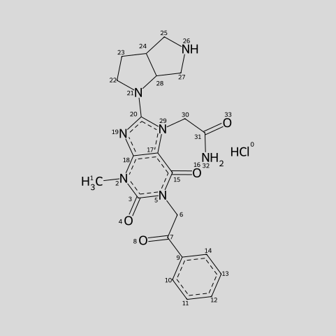 Cl.Cn1c(=O)n(CC(=O)c2ccccc2)c(=O)c2c1nc(N1CCC3CNCC31)n2CC(N)=O